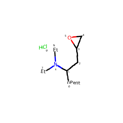 CCCCCC(CC1CO1)N(CC)CC.Cl